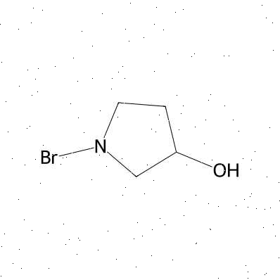 OC1CCN(Br)C1